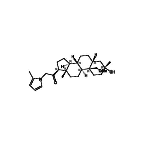 COC[C@]12CC[C@@](C)(O)C[C@H]1CC[C@H]1[C@@H]3CC[C@H](C(=O)Cn4cccc4C)[C@@]3(C)CC[C@@H]12